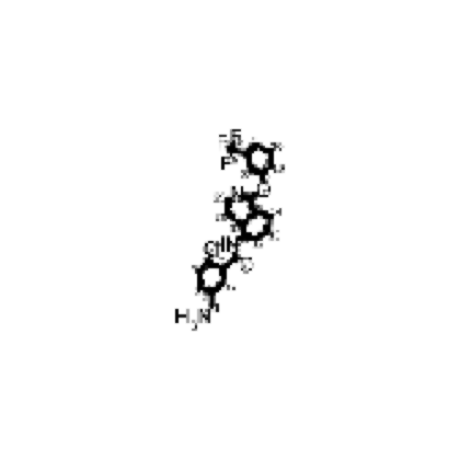 NCc1ccc(Cl)c(C(=O)Nc2cccc3c(Oc4cccc(C(F)(F)F)c4)nccc23)c1